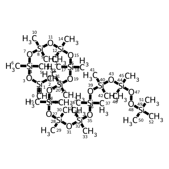 C[SiH](C)O[Si](C)(C)O[Si](C)(C)O[Si](C)(C)O[Si](C)(C)O[Si](C)(C)O[Si](C)(C)O[Si](C)(C)O[Si](C)(C)O[Si](C)(C)O[Si](C)(C)O[Si](C)(C)OO[Si](C)(C)C